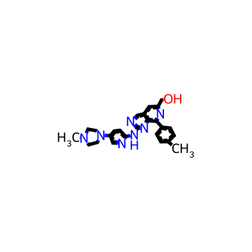 Cc1ccc(-c2nc(CO)cc3cnc(Nc4ccc(N5CCN(C)CC5)cn4)nc23)cc1